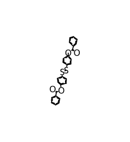 O=C(Oc1ccc(SSc2ccc(OC(=O)c3ccccc3)cc2)cc1)c1ccccc1